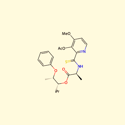 COc1ccnc(C(=S)N[C@@H](C)C(=O)O[C@H](C(C)C)[C@H](C)Oc2ccccc2)c1OC(C)=O